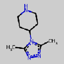 Cc1nnc(C)n1C1CCNCC1